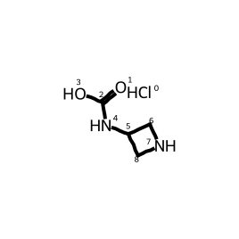 Cl.O=C(O)NC1CNC1